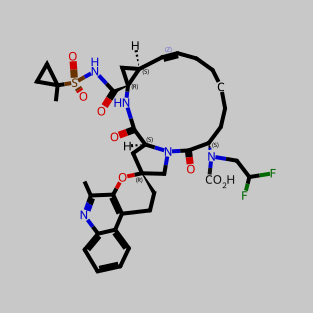 Cc1nc2ccccc2c2c1O[C@]1(CC2)C[C@H]2C(=O)N[C@]3(C(=O)NS(=O)(=O)C4(C)CC4)C[C@H]3/C=C\CCCCC[C@H](N(CC(F)F)C(=O)O)C(=O)N2C1